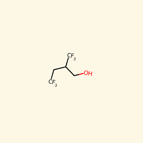 OCC(CC(F)(F)F)C(F)(F)F